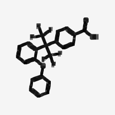 O=C(O)c1ccc(C(c2ccccc2Oc2ccccc2)(C(F)(F)F)C(F)(F)F)cc1